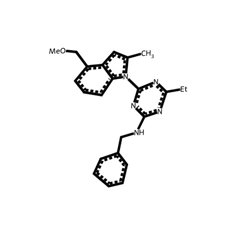 CCc1nc(NCc2ccccc2)nc(-n2c(C)cc3c(COC)cccc32)n1